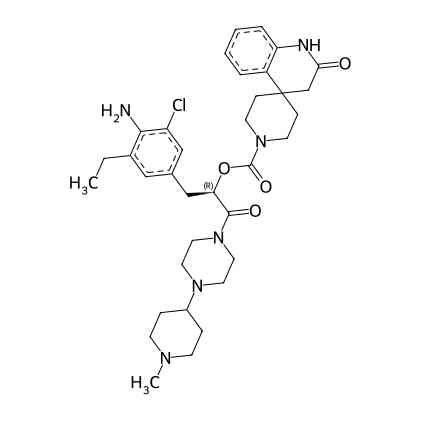 CCc1cc(C[C@@H](OC(=O)N2CCC3(CC2)CC(=O)Nc2ccccc23)C(=O)N2CCN(C3CCN(C)CC3)CC2)cc(Cl)c1N